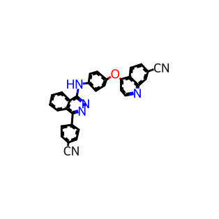 N#Cc1ccc(-c2nnc(Nc3ccc(Oc4ccnc5cc(C#N)ccc45)cc3)c3ccccc23)cc1